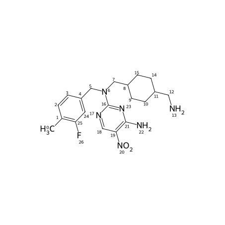 Cc1ccc(CN(CC2CCC(CN)CC2)c2ncc([N+](=O)[O-])c(N)n2)cc1F